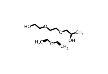 C=COC=C.CC(O)COCCOCCO